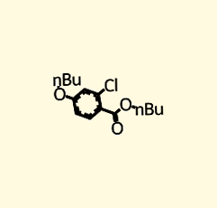 CCCCOC(=O)c1ccc(OCCCC)cc1Cl